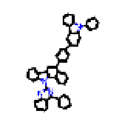 C1=CC2C(C=C1c1ccc(-c3cc4c5ccccc5n(-c5nc(-c6ccccc6)c6ccccc6n5)c4c4ccccc34)cc1)c1ccccc1N2c1ccccc1